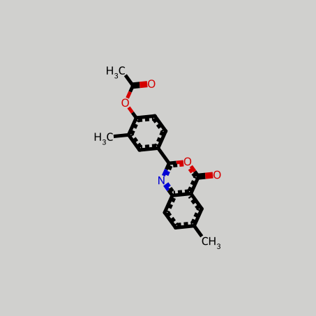 CC(=O)Oc1ccc(-c2nc3ccc(C)cc3c(=O)o2)cc1C